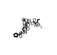 CC[C@@H](C)[C@@H](N)C(=O)OC[C@H]1O[C@@H](n2ccc(NOC(=O)c3ccccc3)nc2=O)[C@@H]2OC(=O)O[C@@H]21